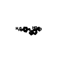 COc1ccc(Cn2ccc3ccc(C4(O)COC4)cc32)cc1